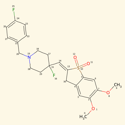 COc1cc2c(cc1OC)S(=O)(=O)/C(=C/C1(F)CCN(Cc3ccc(F)cc3)CC1)C2